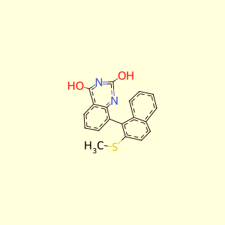 CSc1ccc2ccccc2c1-c1cccc2c(O)nc(O)nc12